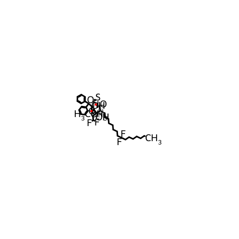 CCCCCCCC(F)(F)CCCCCCC=C[C@H](C(=O)N1C(=S)OC(c2ccccc2)(c2ccccc2)C1C(C)C)[C@@](O)(CC(F)F)C(=O)O